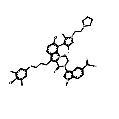 Cc1cc(OCCCc2c3n(c4c(-c5c(C)nn(CCN6CCCC6)c5C)c(Cl)ccc24)[C@H](C)CN(c2cn(C)c4ccc(C(N)=O)cc24)C3=O)cc(C)c1Cl